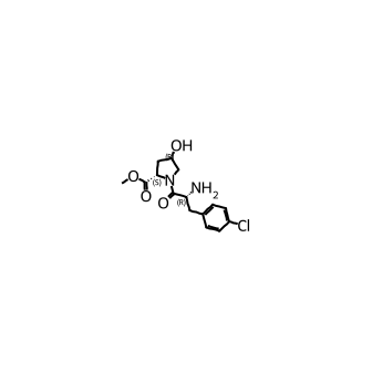 COC(=O)[C@@H]1C[C@@H](O)CN1C(=O)[C@H](N)Cc1ccc(Cl)cc1